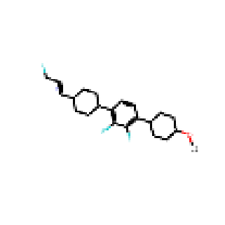 CCOC1CCC(c2ccc(C3CCC(/C=C/CF)CC3)c(F)c2F)CC1